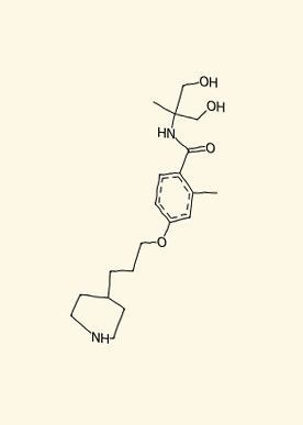 Cc1cc(OCCCC2CCNCC2)ccc1C(=O)NC(C)(CO)CO